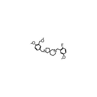 COCc1cc(CN2CCC3(CCCN(Cc4cc(OC)ccc4F)C3)C2)ccc1OC